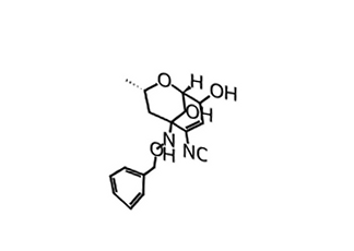 [C-]#[N+]C1=CC(O)[C@H]2O[C@@H](C)CC1(NOCc1ccccc1)C2O